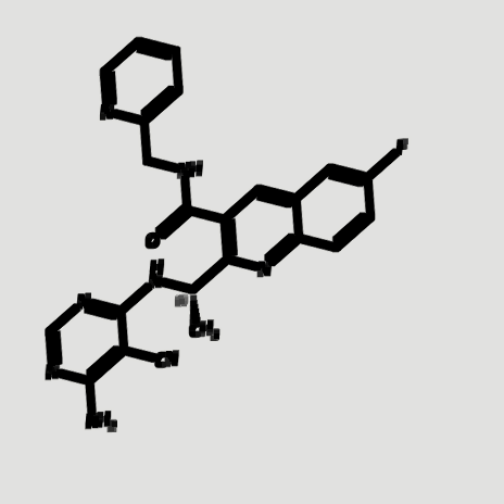 C[C@H](Nc1ncnc(N)c1C#N)c1nc2ccc(F)cc2cc1C(=O)NCc1ccccn1